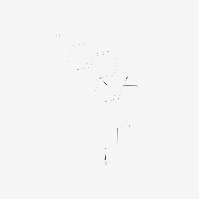 CC(C)[C@@H](O)CC[C@@H](C)[C@H]1CC[C@H]2C3=CC=C4C[C@@H](O)CC[C@]4(C)[C@H]3CC[C@]12C